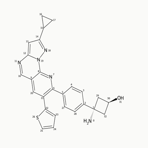 N[C@]1(c2ccc(-c3nc4c(cnc5cc(C6CC6)nn54)cc3-c3cccs3)cc2)C[C@@H](O)C1